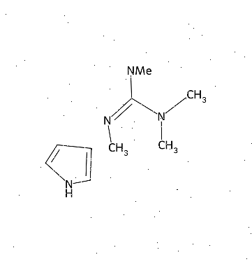 CN=C(NC)N(C)C.c1cc[nH]c1